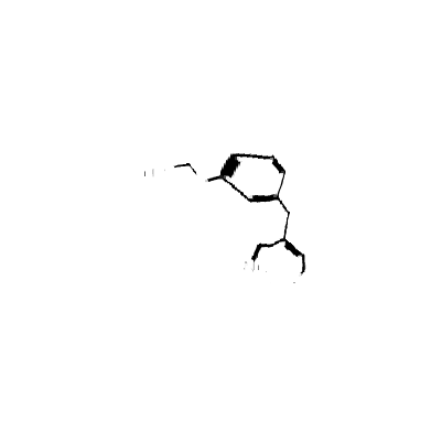 CCOc1cccc(C/C(=C/F)CN)c1